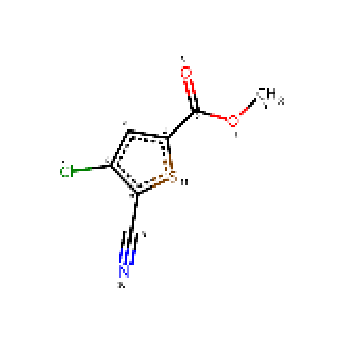 COC(=O)c1cc(Cl)c(C#N)s1